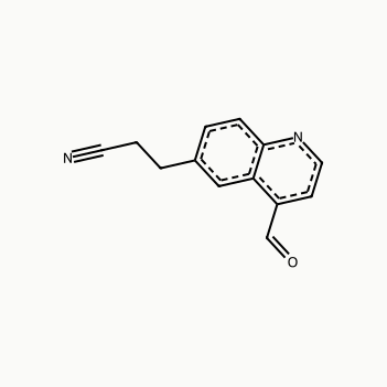 N#CCCc1ccc2nccc(C=O)c2c1